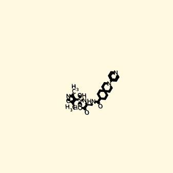 Cc1noc(C)c1S(=O)(=O)N[C@@H](CNC(=O)C1CCC2(CC1)CCN(c1ccncc1)CC2)C(=O)O